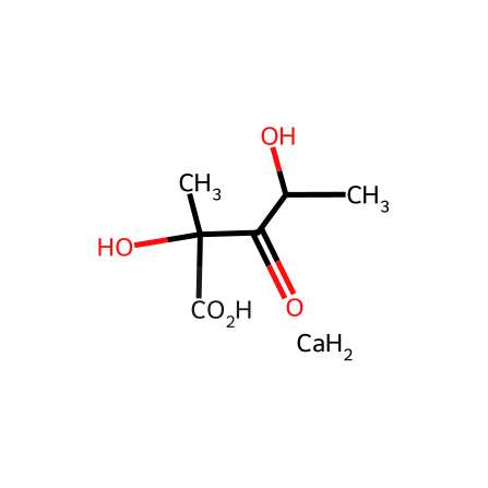 CC(O)C(=O)C(C)(O)C(=O)O.[CaH2]